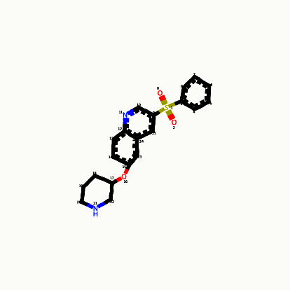 O=S(=O)(c1ccccc1)c1cnc2ccc(OC3CCCNC3)cc2c1